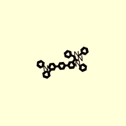 c1ccc(-c2nc(-c3ccccc3)c3c4cc(-c5ccc(-c6ccc7c(c6)c6ccccc6n7-c6ccccc6)cc5)ccc4n(-c4ccccc4)c3n2)cc1